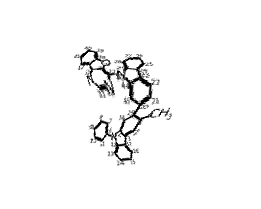 CC1C=c2c(n(-c3ccccc3)c3ccccc23)=CC1c1ccc2c3ccccc3n(-c3ncnc4c3oc3ccccc34)c2c1